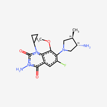 COc1c(N2C[C@@H](C)[C@H](N)C2)c(F)cc2c(=O)n(N)c(=O)n(C3CC3)c12